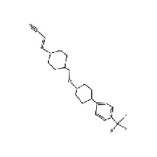 N#CC=CC1CCC(COC2CCC(c3ccc(C(F)(F)F)cc3)CC2)CC1